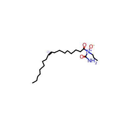 CCCCCCCC/C=C\CCCCCCCC(=O)[N+]([O-])(CCC)C(N)=O